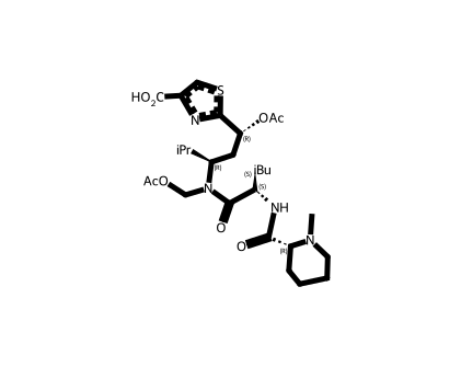 CC[C@H](C)[C@H](NC(=O)[C@H]1CCCCN1C)C(=O)N(COC(C)=O)[C@H](C[C@@H](OC(C)=O)c1nc(C(=O)O)cs1)C(C)C